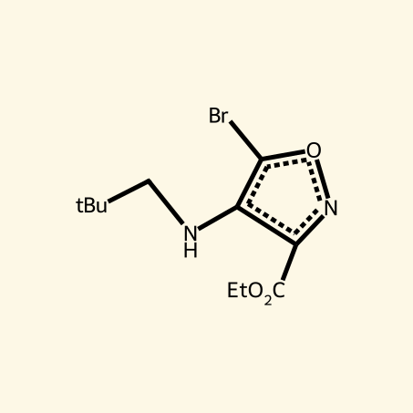 CCOC(=O)c1noc(Br)c1NCC(C)(C)C